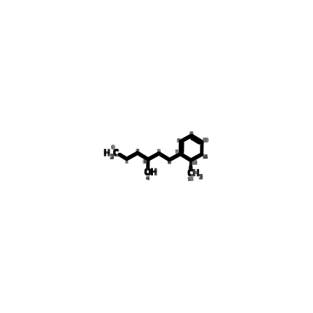 CCCC(O)CCC1=CC=CC[C@H]1C